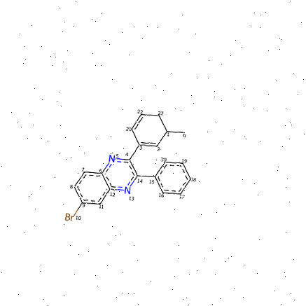 CC1C=C(c2nc3ccc(Br)cc3nc2-c2ccccc2)C=CC1